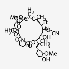 CC[C@@H]1/C=C(\C)C[C@H](C)C[C@H](OC)[C@H]2O[C@@](O)(C(=O)C(=O)N3CCCC[C@H]3C(=O)O[C@H](/C(C)=C/[C@@H]3CC[C@@H](O)[C@H](OC)C3)[C@H](C)[C@@H](O)C/C1=N\OCC#N)[C@H](C)C[C@@H]2OC